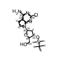 CC(C)(C)[Si](C)(C)O[C@H]1C[C@H](n2ccc3c(N)nc(Cl)nc32)O[C@@H]1CO